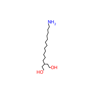 NCCCCCCCCCCCCCC(CCO)CCO